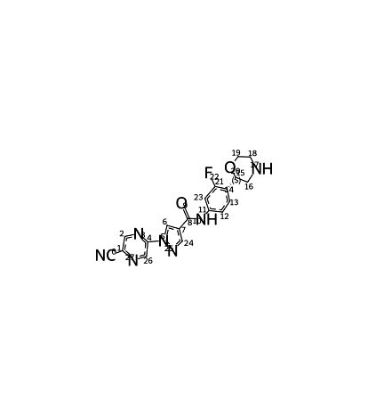 N#Cc1cnc(-n2cc(C(=O)Nc3ccc([C@H]4CNCCO4)c(F)c3)cn2)cn1